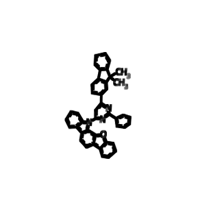 CC1(C)c2ccccc2-c2ccc(-c3cc(-n4c5ccccc5c5ccc6c7ccccc7oc6c54)nc(-c4ccccc4)n3)cc21